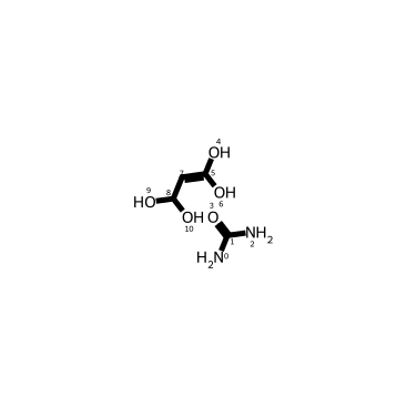 NC(N)=O.OC(O)=CC(O)O